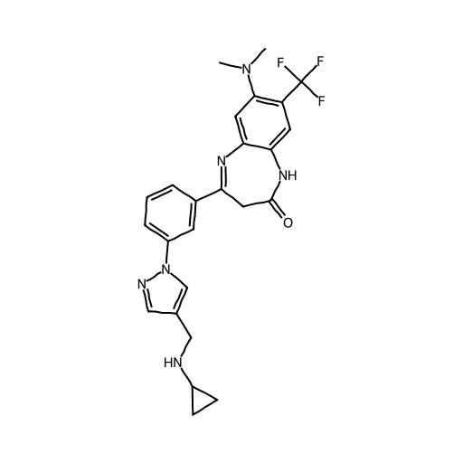 CN(C)c1cc2c(cc1C(F)(F)F)NC(=O)CC(c1cccc(-n3cc(CNC4CC4)cn3)c1)=N2